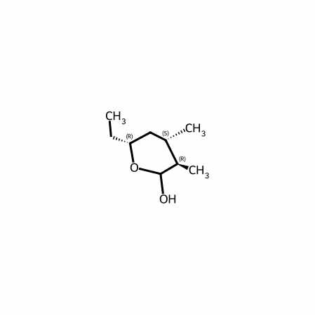 CC[C@@H]1C[C@H](C)[C@@H](C)C(O)O1